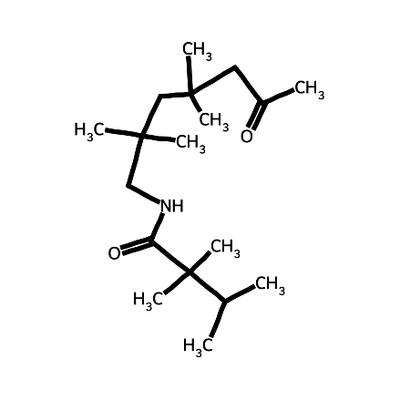 CC(=O)CC(C)(C)CC(C)(C)CNC(=O)C(C)(C)C(C)C